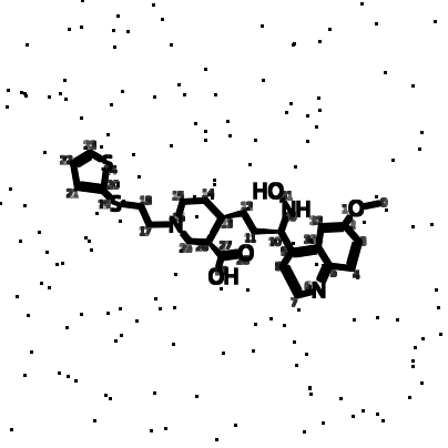 COc1ccc2nccc([C@@H](CC[C@@H]3CCN(CCSc4cccs4)C[C@@H]3C(=O)O)NO)c2c1